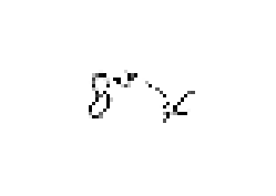 C1=C(c2cccc3ccccc23)CCN(CCCc2onc3c2CCCCC3)C1